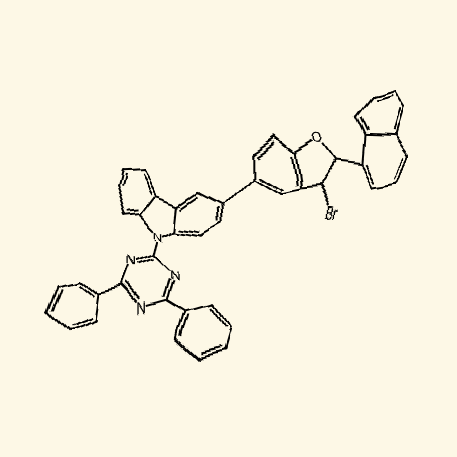 BrC1c2cc(-c3ccc4c(c3)c3ccccc3n4-c3nc(-c4ccccc4)nc(-c4ccccc4)n3)ccc2OC1c1cccc2ccccc12